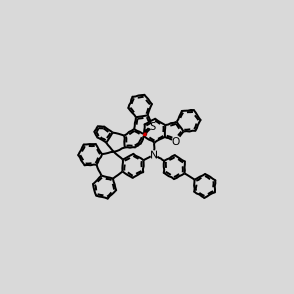 c1ccc(-c2ccc(N(c3ccc4c(c3)C3(c5ccccc5-c5ccccc5-4)c4ccccc4-c4c3ccc3sc5ccccc5c43)c3cccc4c3oc3ccccc34)cc2)cc1